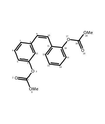 COC(=O)Oc1cccc(/C=C\c2ccccc2OC(=O)OC)c1